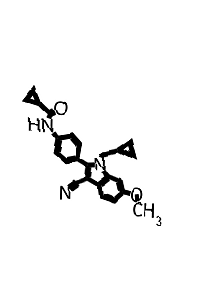 COc1ccc2c(C#N)c(-c3ccc(NC(=O)C4CC4)cc3)n(CC3CC3)c2c1